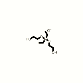 CC[N+](CC)(OCCO)OCCO.[Cl-]